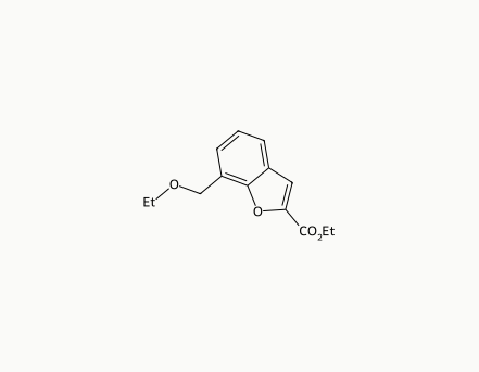 CCOCc1cccc2cc(C(=O)OCC)oc12